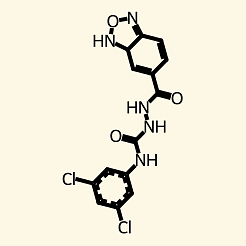 O=C(NNC(=O)C1=CC2NON=C2C=C1)Nc1cc(Cl)cc(Cl)c1